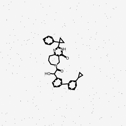 O=C(C(O)c1cccc(-c2cccc(C3CC3)c2)c1)N1CCCc2nc(C3(c4ccccc4)CC3)[nH]c(=O)c2C1